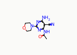 CC(=O)Nc1nc(N2CCOCC2)nc(N)c1C#N